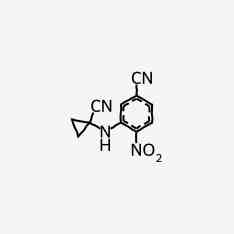 N#Cc1ccc([N+](=O)[O-])c(NC2(C#N)CC2)c1